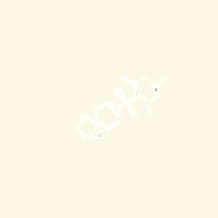 Cc1cc(C)c(S(=O)(=O)N2CCC3(CC2)NCCO3)c(C)c1